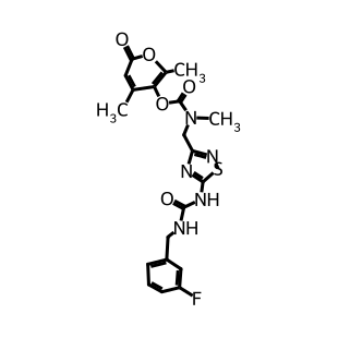 Cc1cc(=O)oc(C)c1OC(=O)N(C)Cc1nsc(NC(=O)NCc2cccc(F)c2)n1